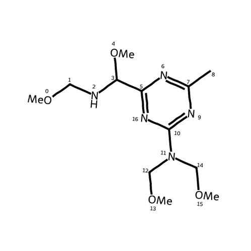 COCNC(OC)c1nc(C)nc(N(COC)COC)n1